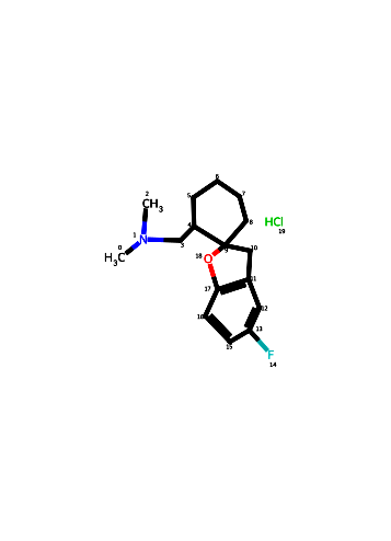 CN(C)CC1CCCCC12Cc1cc(F)ccc1O2.Cl